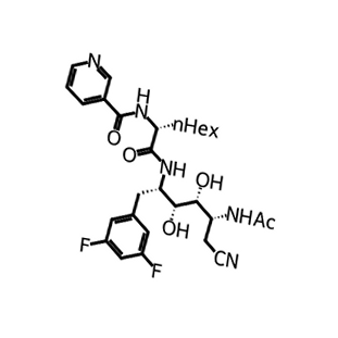 CCCCCC[C@@H](NC(=O)c1cccnc1)C(=O)N[C@@H](Cc1cc(F)cc(F)c1)[C@@H](O)[C@H](O)[C@@H](CC#N)NC(C)=O